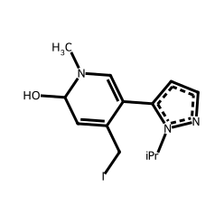 CC(C)n1nccc1C1=CN(C)C(O)C=C1CI